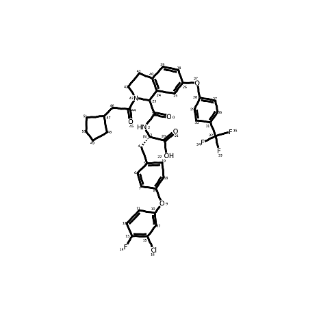 O=C(N[C@@H](Cc1ccc(Oc2ccc(F)c(Cl)c2)cc1)C(=O)O)C1c2cc(Oc3ccc(C(F)(F)F)cc3)ccc2CCN1C(=O)CC1CCCC1